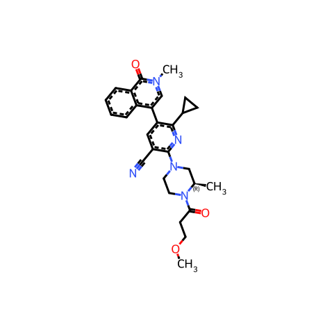 COCCC(=O)N1CCN(c2nc(C3CC3)c(-c3cn(C)c(=O)c4ccccc34)cc2C#N)C[C@H]1C